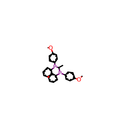 COc1ccc(P(c2ccccc2)C(C)P(c2ccccc2)c2ccc(OC)cc2)cc1